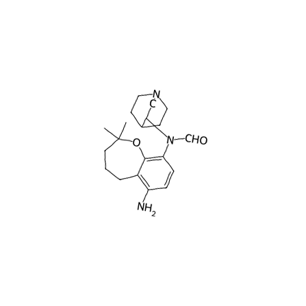 CC1(C)CCCc2c(N)ccc(N(C=O)C3CN4CCC3CC4)c2O1